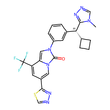 Cn1cnnc1[C@@H](c1cccc(-n2cc3c(C(F)(F)F)cc(-c4nncs4)cn3c2=O)c1)C1CCC1